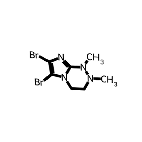 CN1CCn2c(nc(Br)c2Br)N1C